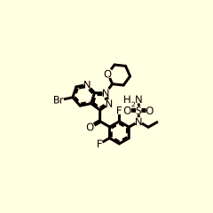 CCN(c1ccc(F)c(C(=O)c2nn(C3CCCCO3)c3ncc(Br)cc23)c1F)S(N)(=O)=O